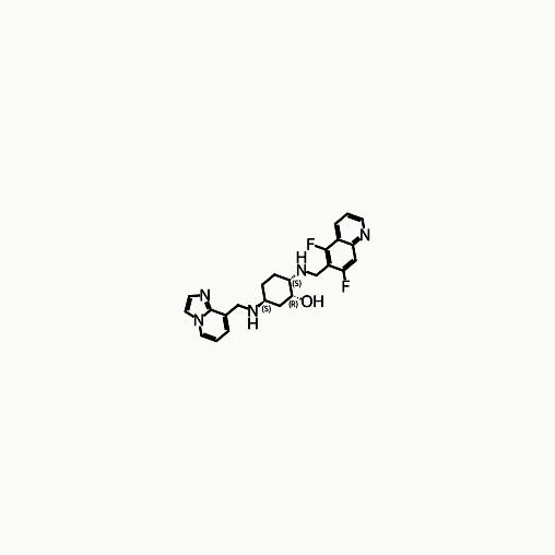 O[C@@H]1C[C@@H](NCc2cccn3ccnc23)CC[C@@H]1NCc1c(F)cc2ncccc2c1F